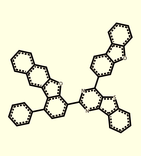 c1ccc(-c2ccc(-c3nc(-c4ccc5c(c4)oc4ccccc45)c4sc5ccccc5c4n3)c3oc4cc5ccccc5cc4c23)cc1